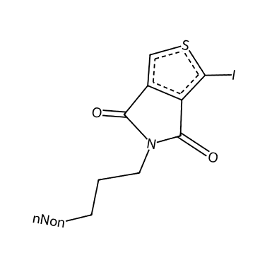 CCCCCCCCCCCCN1C(=O)c2csc(I)c2C1=O